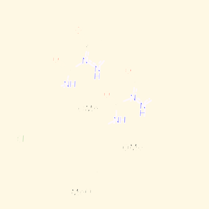 COc1ccc(CNC(=O)n2[nH]c3ccccc3c2=O)c(OC)c1.COc1ccc(Cl)cc1CNC(=O)n1[nH]c2ccccc2c1=O